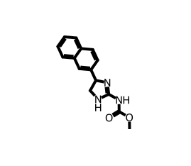 COC(=O)NC1=NC(c2ccc3ccccc3c2)CN1